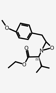 CCOC(=O)[C@H](C(C)C)N1OC1Cc1ccc(OC)cc1